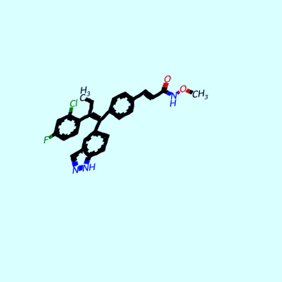 CCC(=C(c1ccc(C=CC(=O)NOC)cc1)c1ccc2[nH]ncc2c1)c1ccc(F)cc1Cl